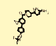 COc1cc(C(=O)N2CCC(c3ccc(N)nn3)CC2)ccc1-c1ccc(OCC(F)(F)F)cc1